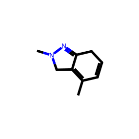 CC1=C2CN(C)N=C2CC=C1